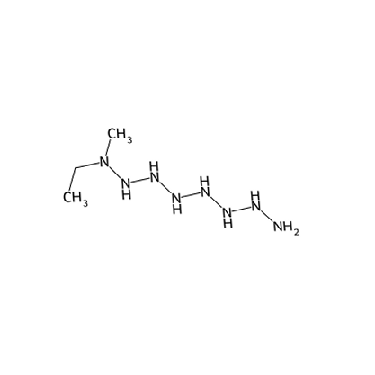 CCN(C)NNNNNNN